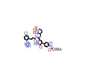 COC(=O)Nc1ccc(-c2cc([C@H](CC3CCCN(S(C)(=O)=O)C3)NC(=O)C=Cc3cc(Cl)ccc3-n3cnnn3)n[nH]c2=O)cc1